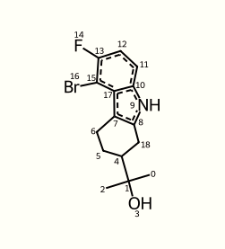 CC(C)(O)C1CCc2c([nH]c3ccc(F)c(Br)c23)C1